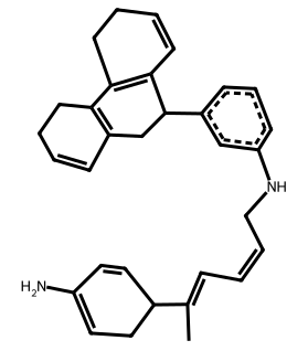 C/C(=C\C=C/CNc1cccc(C2CC3=C(CCC=C3)C3=C2C=CCC3)c1)C1C=CC(N)=CC1